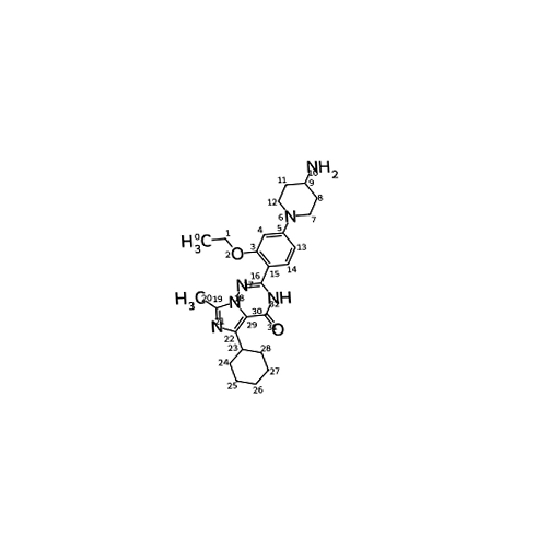 CCOc1cc(N2CCC(N)CC2)ccc1-c1nn2c(C)nc(C3CCCCC3)c2c(=O)[nH]1